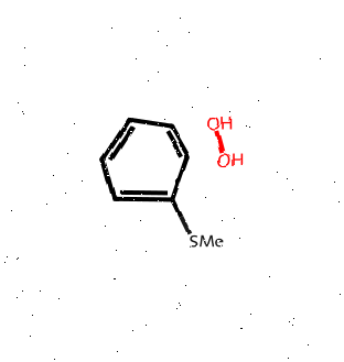 CSc1ccccc1.OO